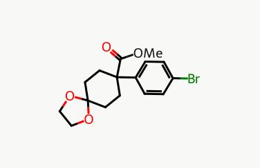 COC(=O)C1(c2ccc(Br)cc2)CCC2(CC1)OCCO2